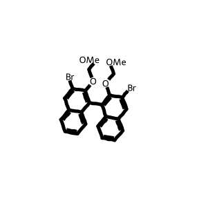 COCOc1c(Br)cc2ccccc2c1-c1c(OCOC)c(Br)cc2ccccc12